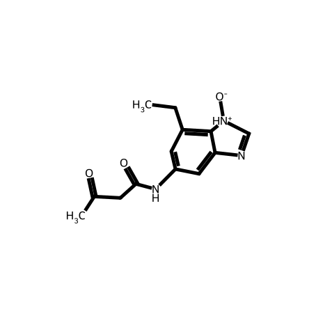 CCc1cc(NC(=O)CC(C)=O)cc2c1[NH+]([O-])C=N2